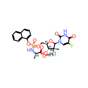 CC(C)OC(=O)[C@@H](C)N[P@](=O)(OC[C@H]1OC(n2cc(F)c(=O)[nH]c2=O)[C@](C)(Cl)[C@@H]1O)Oc1cccc2ccccc12